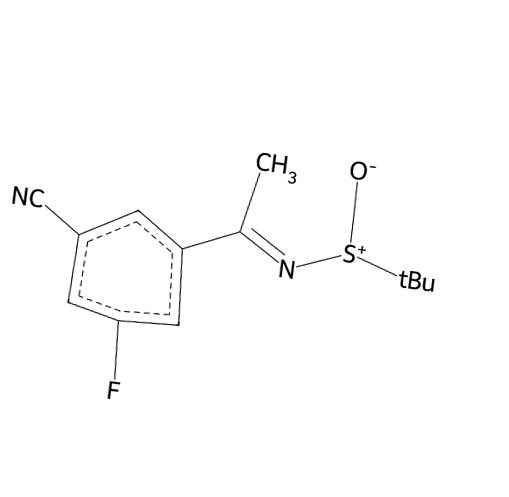 C/C(=N\[S+]([O-])C(C)(C)C)c1cc(F)cc(C#N)c1